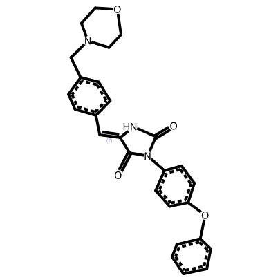 O=C1N/C(=C\c2ccc(CN3CCOCC3)cc2)C(=O)N1c1ccc(Oc2ccccc2)cc1